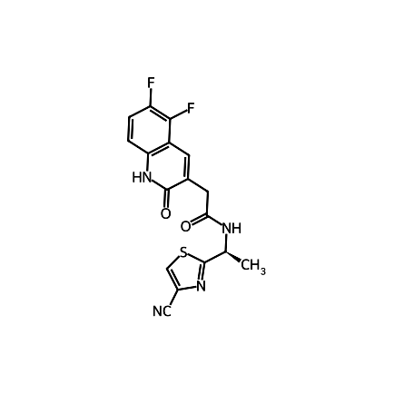 C[C@H](NC(=O)Cc1cc2c(F)c(F)ccc2[nH]c1=O)c1nc(C#N)cs1